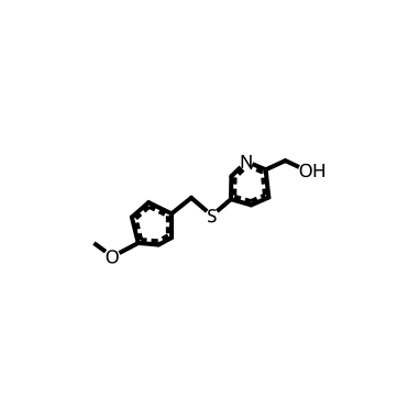 COc1ccc(CSc2ccc(CO)nc2)cc1